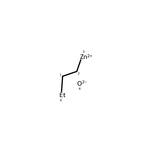 CCC[CH2][Zn+2].[O-2]